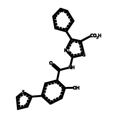 O=C(Nc1nc(-c2ccccc2)c(C(=O)O)s1)c1cc(-c2cccs2)ccc1O